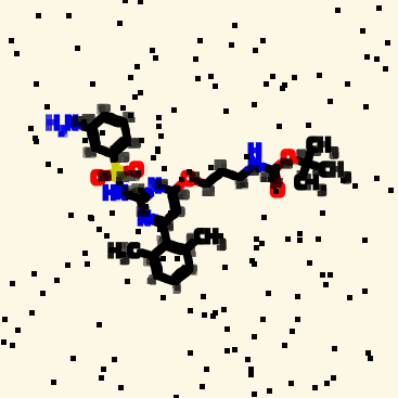 Cc1cccc(C)c1-c1cc(OCCCNC(=O)OC(C)(C)C)nc(NS(=O)(=O)c2cccc(N)c2)n1